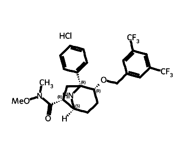 CON(C)C(=O)[C@@H]1C[C@]2(c3ccccc3)N[C@H]1CC[C@H]2OCc1cc(C(F)(F)F)cc(C(F)(F)F)c1.Cl